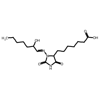 CCCCCC(O)/C=N/N1C(=O)NC(=O)C1CCCCCCC(=O)O